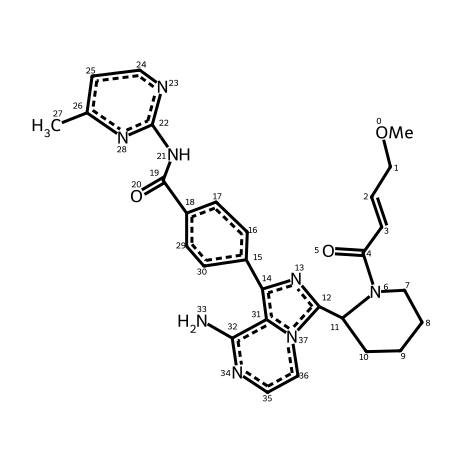 COC/C=C/C(=O)N1CCCCC1c1nc(-c2ccc(C(=O)Nc3nccc(C)n3)cc2)c2c(N)nccn12